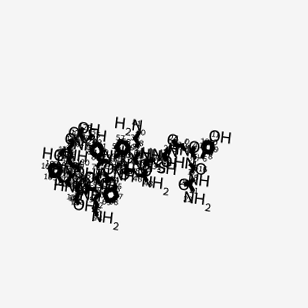 C[C@H](NC(=O)[C@H](Cc1ccc(O)cc1)NC(=O)CNC(=O)CN)C(=O)NCC(=O)N[C@@H](CS)C(=O)N[C@@H](CCCCN)C(=O)N[C@@H](CC(N)=O)C(=O)N[C@@H](Cc1ccccc1)C(=O)N[C@@H](Cc1ccccc1)C(=O)N[C@@H](Cc1c[nH]c2ccccc12)C(=O)N[C@@H](CCCCN)C(=O)N[C@H](C(=O)N[C@@H](Cc1ccccc1)C(=O)N[C@H](C(=O)N[C@@H](CO)C(=O)N[C@@H](CS)C(=O)O)[C@@H](C)O)[C@@H](C)O